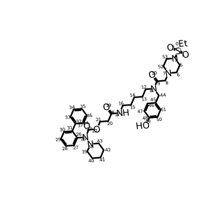 CCS(=O)(=O)N1CCN(CC(=O)N(CCCCCNC(=O)CCOC(=O)N(c2ccccc2-c2ccccc2)N2CC[CH]CC2)Cc2ccc(O)cc2)CC1